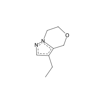 CCc1cnn2c1COCC2